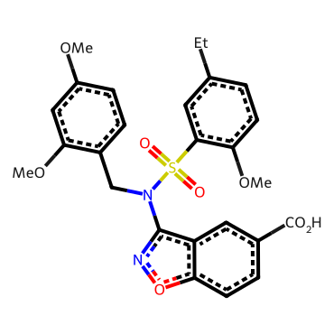 CCc1ccc(OC)c(S(=O)(=O)N(Cc2ccc(OC)cc2OC)c2noc3ccc(C(=O)O)cc23)c1